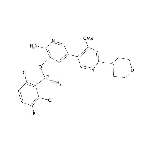 COc1cc(N2CCOCC2)ncc1-c1cnc(N)c(O[C@H](C)c2c(Cl)ccc(F)c2Cl)c1